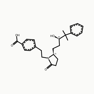 CC(C)(c1ccccc1)[C@H](O)CC[C@H]1CCC(=O)N1CCc1ccc(C(=O)O)cc1